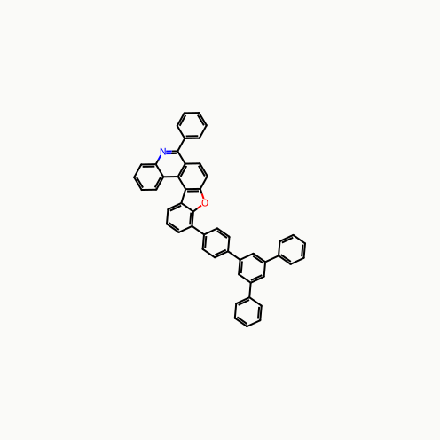 c1ccc(-c2cc(-c3ccccc3)cc(-c3ccc(-c4cccc5c4oc4ccc6c(-c7ccccc7)nc7ccccc7c6c45)cc3)c2)cc1